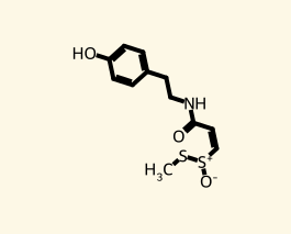 CS[S+]([O-])/C=C\C(=O)NCCc1ccc(O)cc1